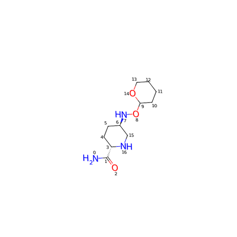 NC(=O)[C@@H]1CC[C@@H](NOC2CCCCO2)CN1